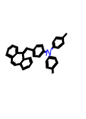 Cc1ccc(N(c2ccc(C)cc2)c2ccc(C=C3c4ccccc4C=CC4C=CC=CC34)cc2)cc1